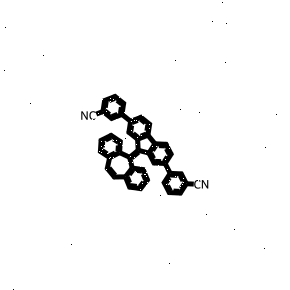 N#Cc1cccc(-c2ccc3c(c2)C(=C2c4ccccc4C=Cc4ccccc42)c2cc(-c4cccc(C#N)c4)ccc2-3)c1